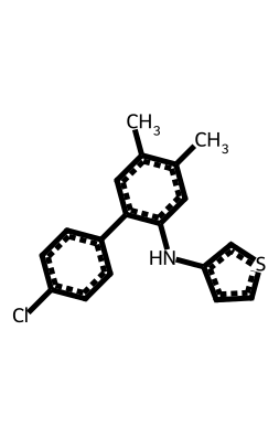 Cc1cc(Nc2ccsc2)c(-c2ccc(Cl)cc2)cc1C